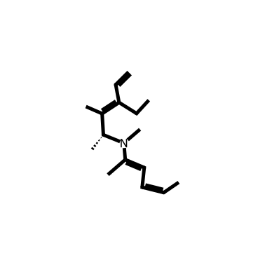 C=C/C(CC)=C(\C)[C@@H](C)N(C)/C(C)=C/C=C\C